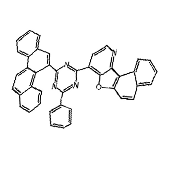 c1ccc(-c2nc(-c3ccnc4c3oc3ccc5ccccc5c34)nc(-c3cc4ccccc4c4ccc5ccccc5c34)n2)cc1